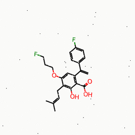 C=C(c1ccc(F)cc1)c1cc(OCCCF)c(CC=C(C)C)c(O)c1C(=O)O